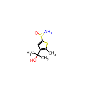 Cc1sc([S+](N)[O-])cc1C(C)(C)O